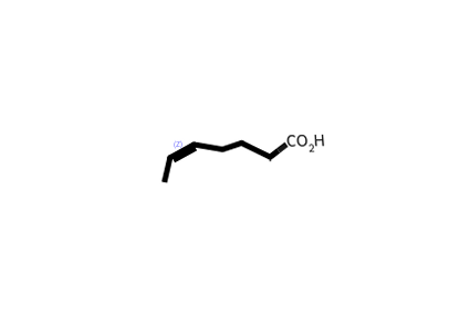 C/C=C\CC[CH]C(=O)O